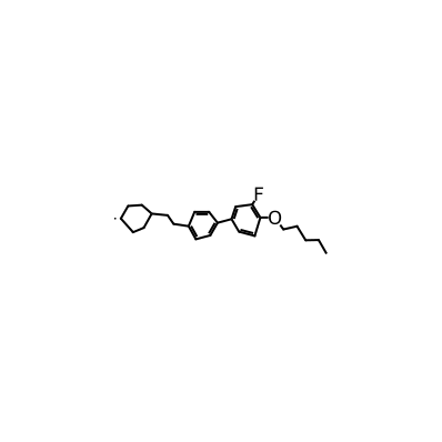 CCCCCOc1ccc(-c2ccc(CCC3CC[CH]CC3)cc2)cc1F